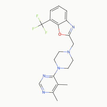 Cc1ncnc(N2CCN(Cc3nc4cccc(C(F)(F)F)c4o3)CC2)c1C